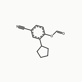 N#Cc1ccc(OC=O)c(C2CCCC2)c1